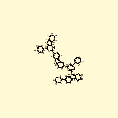 c1ccc(-c2ccc3c4ccccc4n(-c4nc(-c5ccccc5)nc(-c5ccc6sc7cc(-c8nc(-c9ccccc9)c9oc%10ccccc%10c9n8)ccc7c6c5)n4)c3c2)cc1